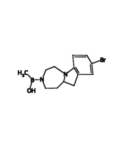 CB(O)N1CCC2Cc3cc(Br)ccc3N2CC1